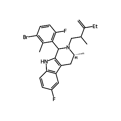 C=C(CC)C(C)CN1C(c2c(F)ccc(Br)c2C)c2[nH]c3ccc(F)cc3c2C[C@H]1C